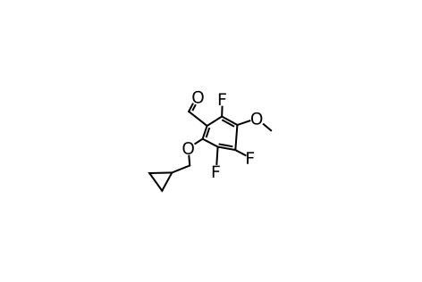 COc1c(F)c(F)c(OCC2CC2)c(C=O)c1F